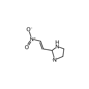 O=[N+]([O-])/C=C/C1[N]CCN1